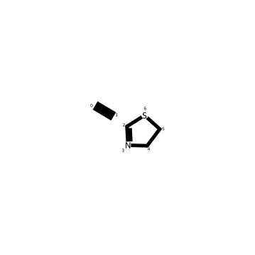 C#C.[C]1=NCCS1